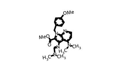 COC(=O)c1c(N=CN(C)C)c2c(N(C)C)ccnc2n1Cc1ccc(OC)cc1